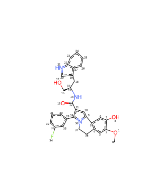 COc1cc2c(cc1O)-c1cc(C(=O)N[C@@H](CO)Cc3c[nH]c4ccccc34)c(-c3cccc(F)c3)n1CC2